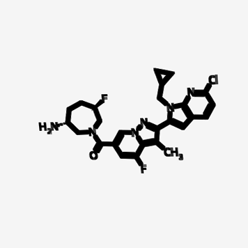 Cc1c(-c2cc3ccc(Cl)nc3n2CC2CC2)nn2cc(C(=O)N3C[C@H](N)CC[C@@H](F)C3)cc(F)c12